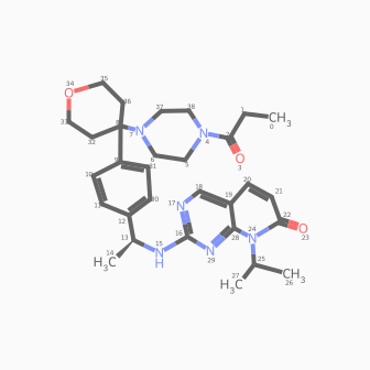 CCC(=O)N1CCN(C2(c3ccc([C@H](C)Nc4ncc5ccc(=O)n(C(C)C)c5n4)cc3)CCOCC2)CC1